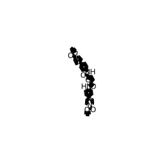 CC(C)(C)OC(=O)N1CCN(c2ccc(NC(=O)c3ccc(C(=O)Nc4ccc(N5CCN(C(=O)OC(C)(C)C)CC5)cc4)o3)cc2)CC1